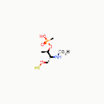 C[C@@H](O[P@](C)(=O)O)[C@@H](COS)NC(=O)O